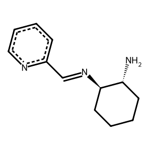 N[C@@H]1CCCC[C@H]1/N=C/c1ccccn1